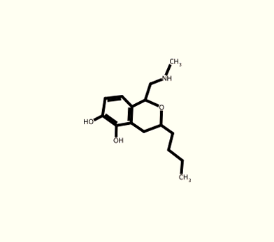 CCCCC1Cc2c(ccc(O)c2O)C(CNC)O1